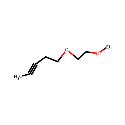 CC#CCCOCCOCC